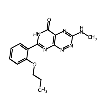 CCCOc1ccccc1-c1nc2nnc(NC)nc2c(=O)[nH]1